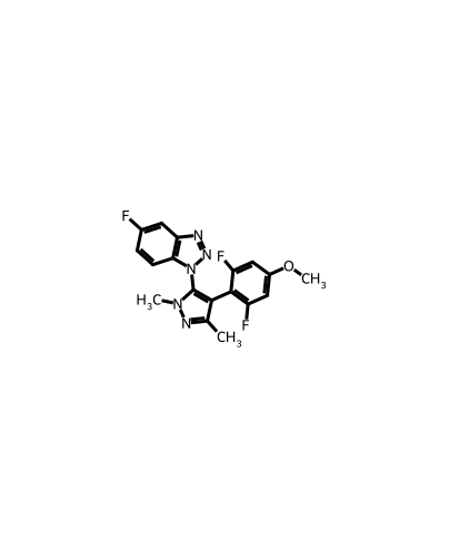 COc1cc(F)c(-c2c(C)nn(C)c2-n2nnc3cc(F)ccc32)c(F)c1